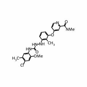 CNC(=O)c1cc(Oc2cccc(NNC(=O)Nc3cc(C)c(Cl)cc3OC)c2C)ccn1